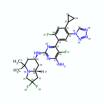 CC1(C)C[C@@H](Nc2nc(N)c(F)c(-c3cc(-n4cnnn4)c(C4CC4)cc3F)n2)C[C@@H]2CC(F)(F)CN21